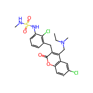 CCN(C)Cc1c(Cc2cccc(NS(=O)(=O)NC)c2Cl)c(=O)oc2c[c]c(Cl)cc12